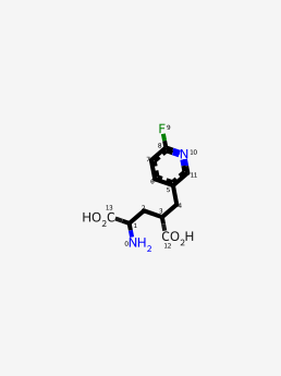 NC(CC(Cc1ccc(F)nc1)C(=O)O)C(=O)O